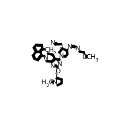 COCCN=C=N[C@H]1CCN(c2nc(OC[C@@H]3CCCN3C)nc3c2CCN(c2cccc4cccc(C)c24)C3)C[C@@H]1CC#N